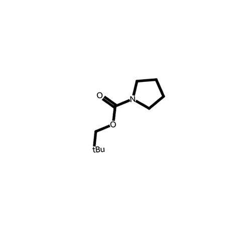 CC(C)(C)COC(=O)N1CCCC1